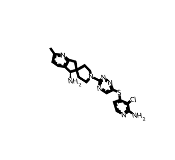 Cc1ccc2c(n1)CC1(CCN(c3ncc(Sc4ccnc(N)c4Cl)nn3)CC1)[C@H]2N